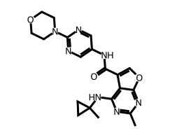 Cc1nc(NC2(C)CC2)c2c(C(=O)Nc3cnc(N4CCOCC4)nc3)coc2n1